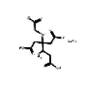 NC(CC(=O)O)C(CC(=O)[O-])(CC(=O)O)NCC(=O)[O-].[Na+].[Na+]